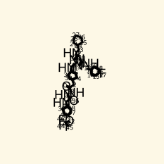 O=C(Cc1ccc(Nc2nc(NCc3ccc(F)cc3)nc(NCC3CCCCC3)n2)cc1)NNC(=O)Nc1ccc(OC(F)(F)F)cc1